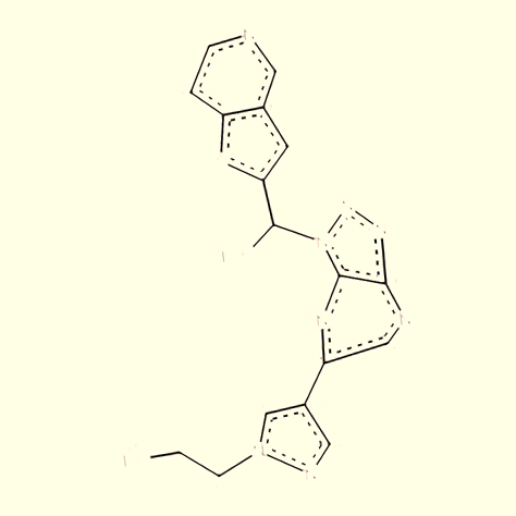 CC(c1cc2cnccc2s1)n1nnc2ncc(-c3cnn(CCO)c3)nc21